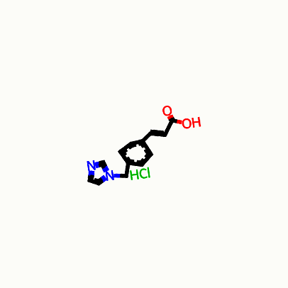 Cl.O=C(O)/C=C/c1ccc(Cn2ccnc2)cc1